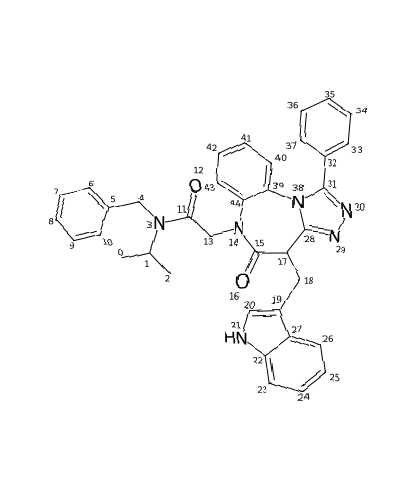 CC(C)N(Cc1ccccc1)C(=O)CN1C(=O)C(Cc2c[nH]c3ccccc23)c2nnc(-c3ccccc3)n2-c2ccccc21